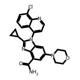 NC(=O)c1cc(N2CCOCC2)cc2c1nc(C1CC1)n2-c1ccnc2c(Cl)cccc12